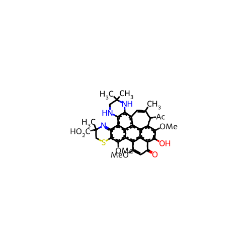 COC1=CC(=O)c2c(O)c(OC)c3c4c2c1c1c(OC)c2c(c5c6c(c(c4c15)C=C(C)C3C(C)=O)NC(C)(C)CN6)=NC(C)(C(=O)O)CS2